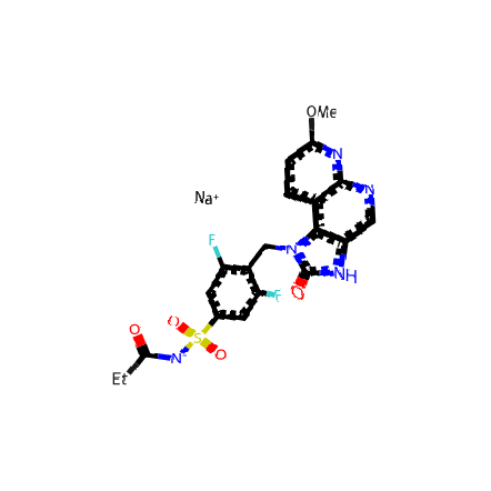 CCC(=O)[N-]S(=O)(=O)c1cc(F)c(Cn2c(=O)[nH]c3cnc4nc(OC)ccc4c32)c(F)c1.[Na+]